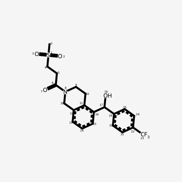 CS(=O)(=O)CCC(=O)N1CCc2c(cccc2C(O)c2ccc(C(F)(F)F)cc2)C1